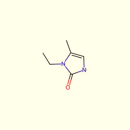 CCN1C(=O)[N]C=C1C